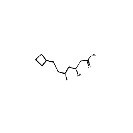 C[C@@H](CCC1CCC1)C[C@H](N)CC(=O)O